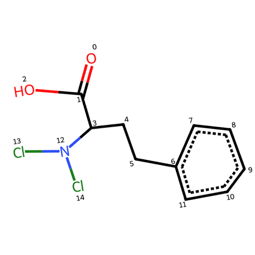 O=C(O)C(CCc1ccccc1)N(Cl)Cl